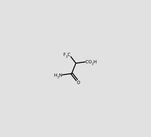 NC(=O)C(C(=O)O)C(F)(F)F